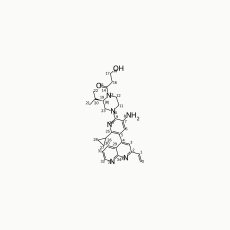 C=Cc1cc(-c2cc(N)c(N3CCN(C(=O)CCO)[C@H](C(C)C)C3)nc2C2CC2)c2cccnc2n1